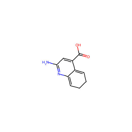 Nc1cc(C(=O)O)c2c(n1)=CCCC=2